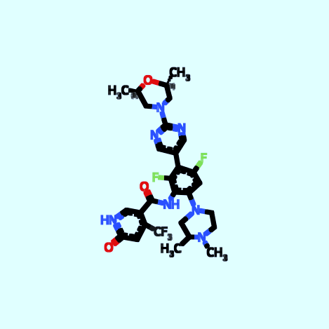 CC1CN(c2cc(F)c(-c3cnc(N4C[C@@H](C)O[C@H](C)C4)nc3)c(F)c2NC(=O)c2c[nH]c(=O)cc2C(F)(F)F)CCN1C